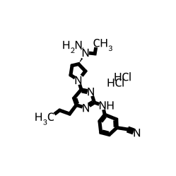 CCCc1cc(N2CC[C@H](N(N)CC)C2)nc(Nc2cccc(C#N)c2)n1.Cl.Cl